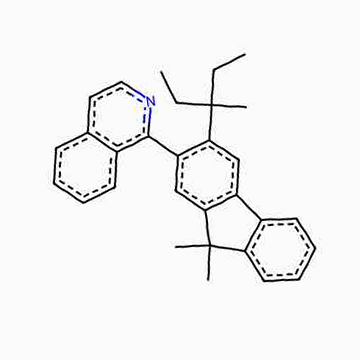 CCC(C)(CC)c1cc2c(cc1-c1nccc3ccccc13)C(C)(C)c1ccccc1-2